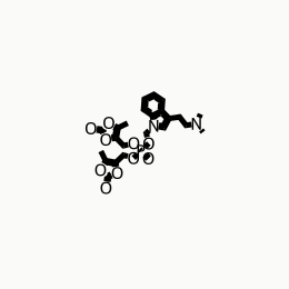 Cc1oc(=O)oc1COP(=O)(OCc1oc(=O)oc1C)OCn1cc(CCN(C)C)c2ccccc21